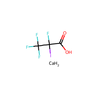 O=C(O)C(F)(I)C(F)(F)F.[CaH2]